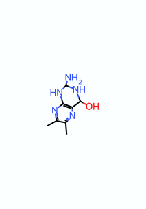 Cc1nc2c(nc1C)C(O)NC(N)N2